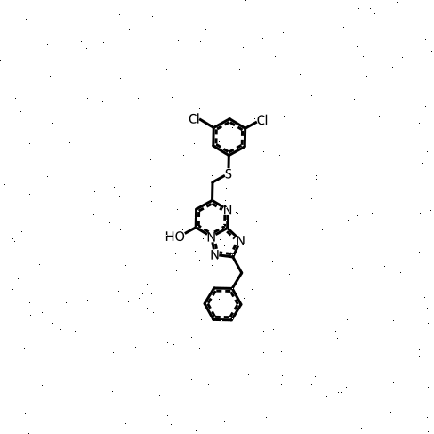 Oc1cc(CSc2cc(Cl)cc(Cl)c2)nc2nc(Cc3ccccc3)nn12